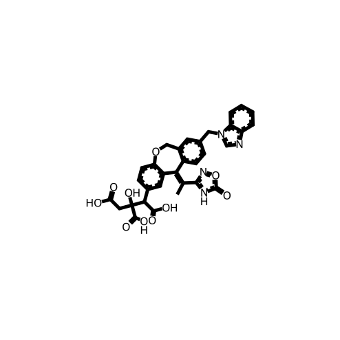 C/C(=C1/c2ccc(Cn3cnc4ccccc43)cc2COc2ccc(C(C(=O)O)C(O)(CC(=O)O)C(=O)O)cc21)c1noc(=O)[nH]1